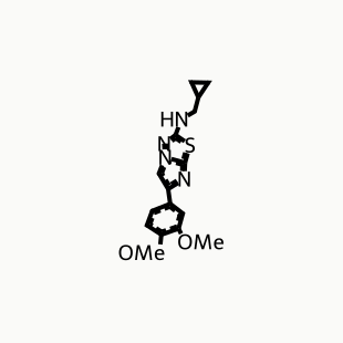 COc1ccc(-c2cn3nc(NCC4CC4)sc3n2)cc1OC